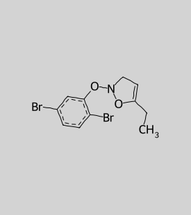 CCC1=CCN(Oc2cc(Br)ccc2Br)O1